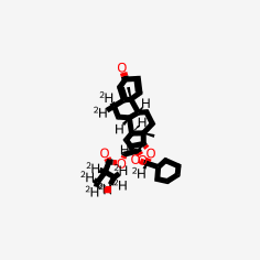 [2H]C1([2H])C[C@@H]2[C@H](CC[C@@]3(C)[C@H]2C[C@H]2O[C@@]([2H])(C4CCCCC4)O[C@]23C(=O)COC(=O)C([2H])(C([2H])([2H])[2H])C([2H])([2H])[2H])[C@@]2(C)C=CC(=O)C=C12